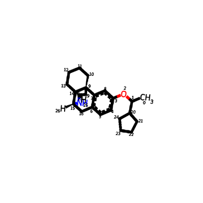 C[C](Oc1ccc2c(c1)[C@@]13CCCC[C@H]1[C@@H](C2)NCC3)C1CCCC1